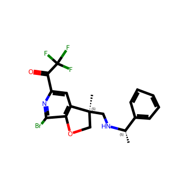 C[C@H](NC[C@@]1(C)COc2c1cc(C(=O)C(F)(F)F)nc2Br)c1ccccc1